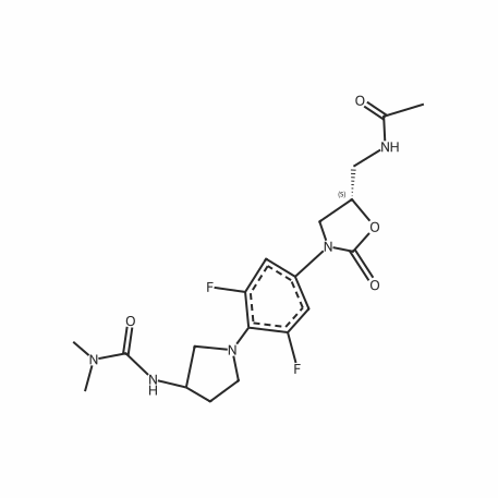 CC(=O)NC[C@H]1CN(c2cc(F)c(N3CCC(NC(=O)N(C)C)C3)c(F)c2)C(=O)O1